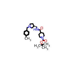 Cc1ccc(CN2CC[C@@H](CNC(=O)C3CCN(C(=O)OC(C)(C)C)CC3)C2)cc1